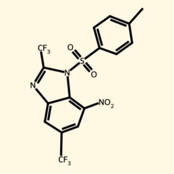 Cc1ccc(S(=O)(=O)n2c(C(F)(F)F)nc3cc(C(F)(F)F)cc([N+](=O)[O-])c32)cc1